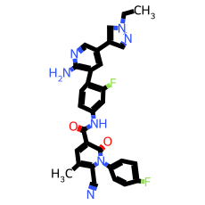 CCn1cc(-c2cnc(N)c(-c3ccc(NC(=O)c4cc(C)c(C#N)n(-c5ccc(F)cc5)c4=O)cc3F)c2)cn1